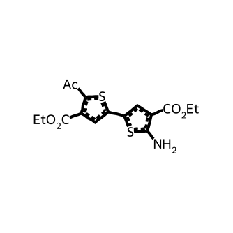 CCOC(=O)c1cc(-c2cc(C(=O)OCC)c(C(C)=O)s2)sc1N